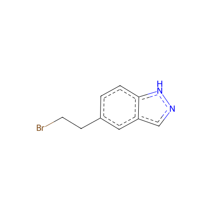 BrCCc1ccc2[nH]ncc2c1